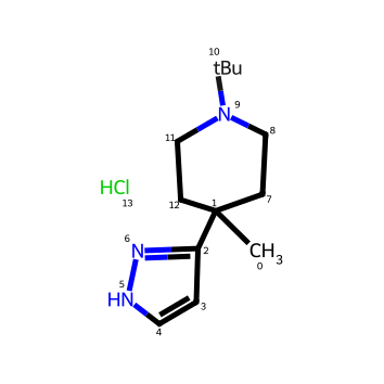 CC1(c2cc[nH]n2)CCN(C(C)(C)C)CC1.Cl